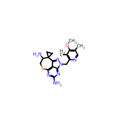 COc1c(C)cnc(Cn2nc3c4c(nc(N)nc42)SCC(N)C32CC2)c1C